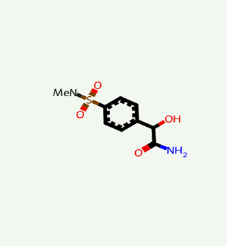 CNS(=O)(=O)c1ccc(C(O)C(N)=O)cc1